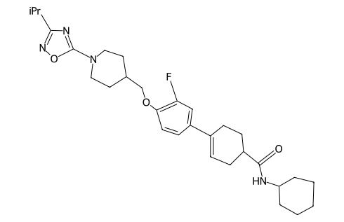 CC(C)c1noc(N2CCC(COc3ccc(C4=CCC(C(=O)NC5CCCCC5)CC4)cc3F)CC2)n1